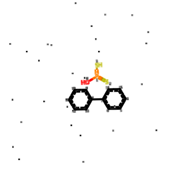 O[PH](=S)S.c1ccc(-c2ccccc2)cc1